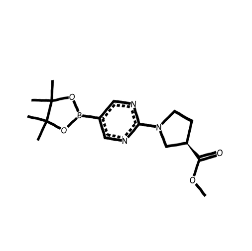 COC(=O)[C@@H]1CCN(c2ncc(B3OC(C)(C)C(C)(C)O3)cn2)C1